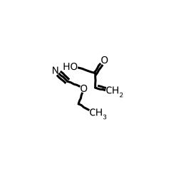 C=CC(=O)O.CCOC#N